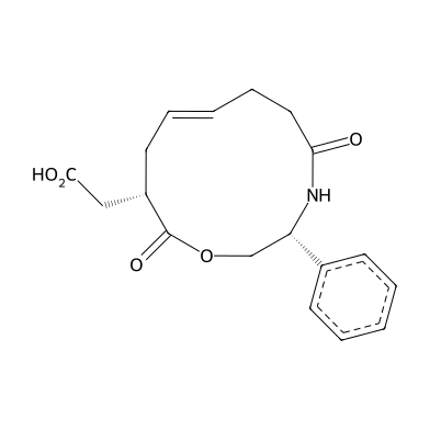 O=C(O)C[C@@H]1C/C=C/CCC(=O)N[C@H](c2ccccc2)COC1=O